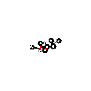 C1=CCC(n2c3c(c4c2CCCC4)C(C2=CC4OC5=CCCCC5C5(C4C=C2)C2C=CC(C4=CCN=C4)=CC2OC2C=CCCC25)CC=C3)C=C1